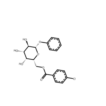 O=C(OC[C@H]1O[C@@H](Oc2ccccc2)[C@H](O)[C@@H](O)[C@H]1O)c1ccc(Cl)cc1